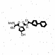 CCC(NC(=O)[C@@H]1C[C@@H](O)CN1C(=O)[C@@H](NC)C(C)(C)C)c1ccc(-c2ccccc2)cc1